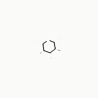 CC(=O)O[C@@H]1O[C@H](C(C)=O)[C@@H](C)[C@H](OC(C)=O)[C@H]1OC(C)=O